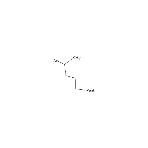 [CH2]C(CCCCCCCC)C(C)=O